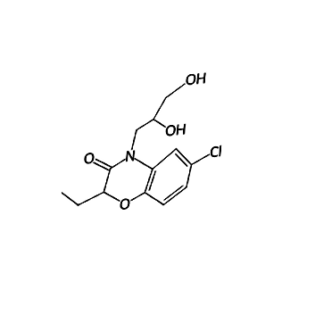 CCC1Oc2ccc(Cl)cc2N(CC(O)CO)C1=O